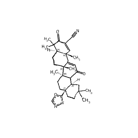 CC1(C)CC[C@]2(c3nnco3)CC[C@]3(C)C(C(=O)C=C4[C@@]5(C)C=C(C#N)C(=O)C(C)(C)[C@@H]5CC[C@]43C)[C@H]2C1